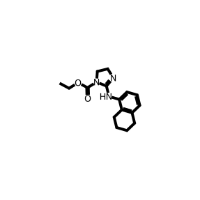 CCOC(=O)N1CCN=C1Nc1cccc2c1CCCC2